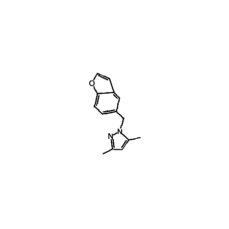 Cc1cc(C)n(Cc2ccc3occc3c2)n1